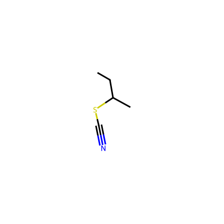 CCC(C)SC#N